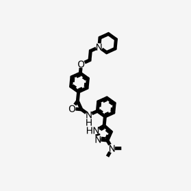 CN(C)c1cc(-c2ccccc2NC2OC2c2ccc(OCCN3CCCCC3)cc2)[nH]n1